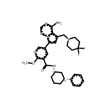 COc1ncc(-c2cc(CN3CCC(F)(F)CC3)c3c(N)ncnn23)cc1C(=O)N[C@H]1CCC[C@@H](c2ccccc2)C1